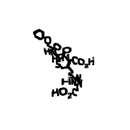 O=C(O)Cc1nnc(SCC2=C(C(=O)O)N3C(=O)C(NC(=O)COc4ccccc4)[C@@H]3SC2)[nH]1